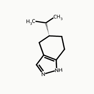 CC(C)[C@@H]1CCc2[nH]ncc2C1